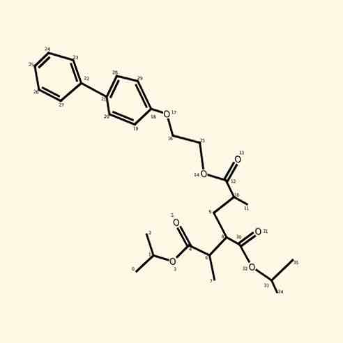 CC(C)OC(=O)C(C)C(CC(C)C(=O)OCCOc1ccc(-c2ccccc2)cc1)C(=O)OC(C)C